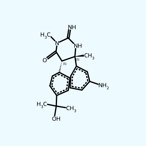 CN1C(=N)N[C@](C)(c2cccc(N)c2)[C@H](c2ccc(C(C)(C)O)cc2)C1=O